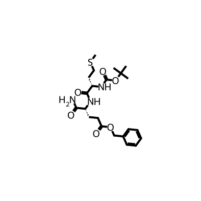 CSCC[C@H](NC(=O)OC(C)(C)C)C(=O)N[C@H](CCC(=O)OCc1ccccc1)C(N)=O